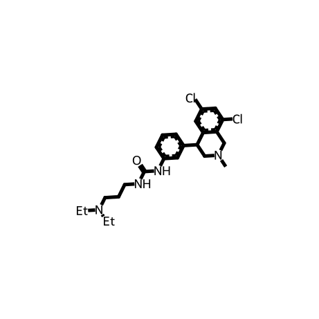 CCN(CC)CCCNC(=O)Nc1cccc(C2CN(C)Cc3c(Cl)cc(Cl)cc32)c1